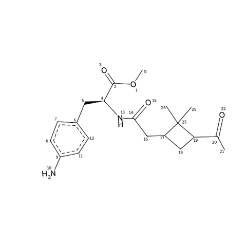 COC(=O)[C@H](Cc1ccc(N)cc1)NC(=O)CC1CC(C(C)=O)C1(C)C